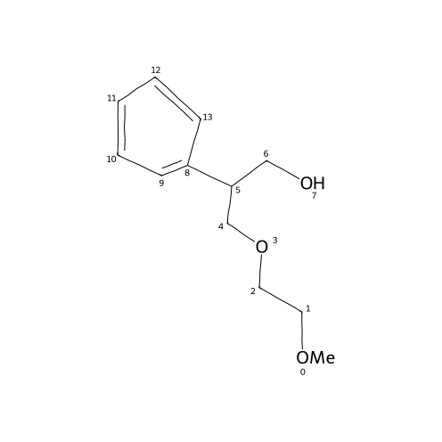 COCCOCC(CO)c1ccccc1